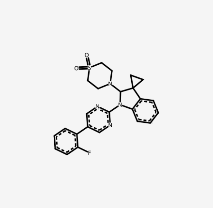 O=S1(=O)CCN(C2N(c3ncc(-c4ccccc4F)cn3)c3c[c]ccc3C23CC3)CC1